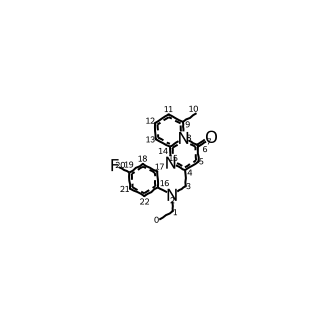 CCN(Cc1cc(=O)n2c(C)cccc2n1)c1ccc(F)cc1